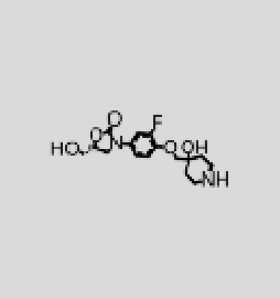 O=C1O[C@@H](CO)CN1c1ccc(OCC2(O)CCNCC2)c(F)c1